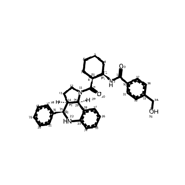 O=C(N[C@@H]1CCCC[C@@H]1C(=O)N1CC[C@@H]2[C@H](c3ccccc3)Nc3ccccc3[C@@H]21)c1ccc(CO)cc1